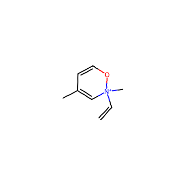 C=C[N+]1(C)C=C(C)C=CO1